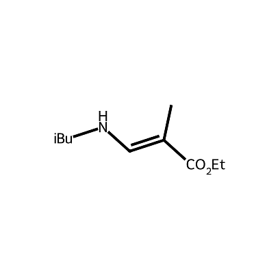 CCOC(=O)C(C)=CNC(C)CC